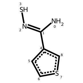 N/C(=N\S)c1ccsc1